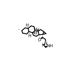 C[C@H]1CC[C@H]2[C@H](CC[C@@H]3[C@@H]2CC[C@@]2(C)[C@H]3CC3C[C@]32C(=O)Cn2nc[nH]2)C1